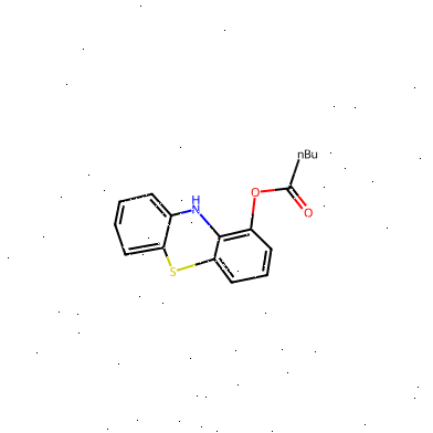 CCCCC(=O)Oc1cccc2c1Nc1ccccc1S2